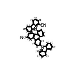 N#Cc1ccc(-c2ccccc2-n2c3ccccc3c3cccc(C#N)c32)c(-c2ccc(-n3c4ccccc4c4ccccc43)cc2)c1